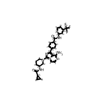 Nc1nccn2c(N3CCC[C@@H](NC(=O)C4CC4)C3)nc(-c3ccc(C(=O)Nc4cc(C(F)(F)F)ccn4)cc3)c12